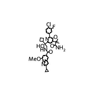 COc1cc(C(=O)NCC(O)(c2cc3c(c(-c4ccc(Cl)c(F)c4)n2)OC[C@]3(C)C(N)=O)C2CCC2)cc2cc(C3CC3)nn12